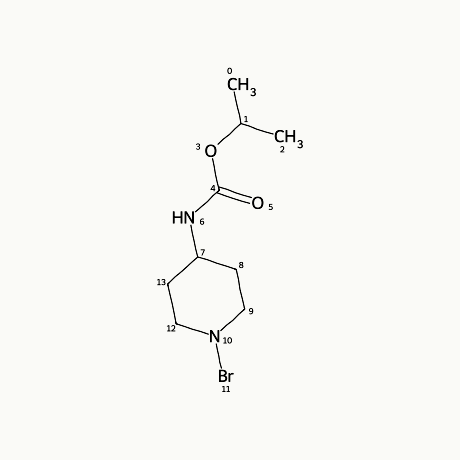 CC(C)OC(=O)NC1CCN(Br)CC1